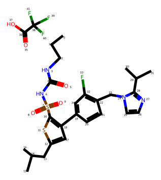 CCCNC(=O)NS(=O)(=O)c1sc(CC(C)C)cc1-c1ccc(Cn2ccnc2C(C)C)c(F)c1.O=C(O)C(F)(F)F